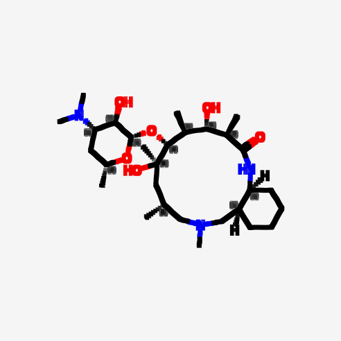 C[C@H]1CN(C)C[C@@H]2CCCC[C@@H]2NC(=O)[C@H](C)[C@@H](O)[C@H](C)[C@@H](O[C@@H]2O[C@H](C)C[C@H](N(C)C)[C@H]2O)[C@](C)(O)C1